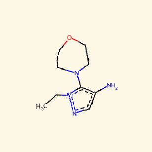 CCn1ncc(N)c1N1CCOCC1